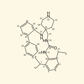 CCc1cccc(C(C)C)c1NC(=O)NCC1(Nc2ccccc2-c2ccccc2)CCNCC1